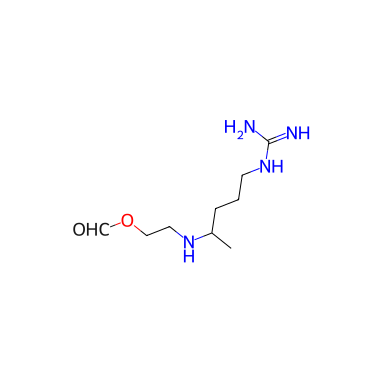 CC(CCCNC(=N)N)NCCOC=O